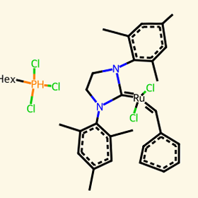 CCCCCC[PH](Cl)(Cl)Cl.Cc1cc(C)c(N2CCN(c3c(C)cc(C)cc3C)[C]2=[Ru]([Cl])([Cl])=[CH]c2ccccc2)c(C)c1